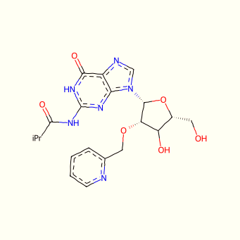 CC(C)C(=O)Nc1nc2c(ncn2[C@@H]2O[C@H](CO)C(O)[C@@H]2OCc2ccccn2)c(=O)[nH]1